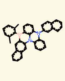 Cc1cccc(C)c1B1c2cc3ccccc3cc2N2c3ccccc3N(c3ccc4ccccc4c3)c3cccc1c32